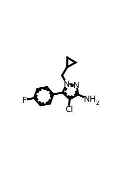 Nc1nn(CC2CC2)c(-c2ccc(F)cc2)c1Cl